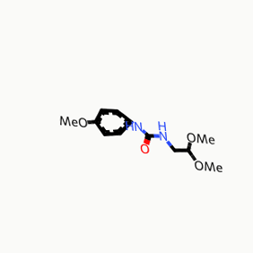 COc1ccc(NC(=O)NCC(OC)OC)cc1